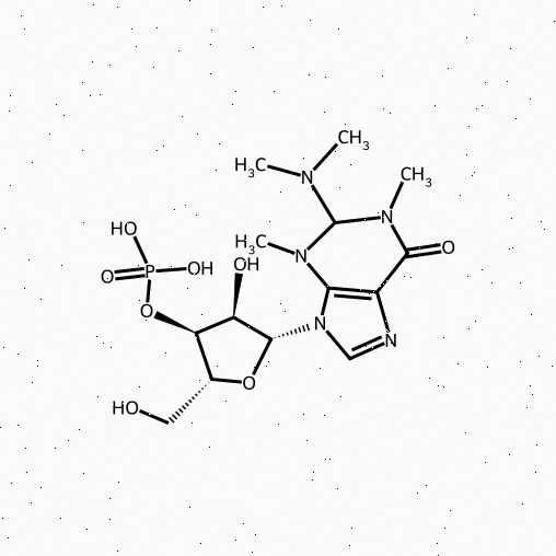 CN(C)C1N(C)C(=O)c2ncn([C@@H]3O[C@H](CO)[C@@H](OP(=O)(O)O)[C@H]3O)c2N1C